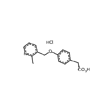 Cc1ncccc1COc1ccc(CC(=O)O)cc1.Cl